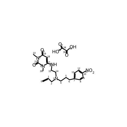 C=CCN(CCCc1ccc([N+](=O)[O-])cc1)CCNc1cc(=O)n(C)c(=O)n1C.O=C(O)C(=O)O